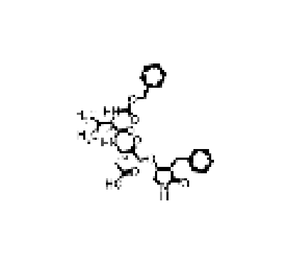 CC(C)[C@H](NC(=O)OCc1ccccc1)C(=O)N[C@@H](CC(=O)O)C(=O)COC1=C(Cc2ccccc2)C(=O)NC1